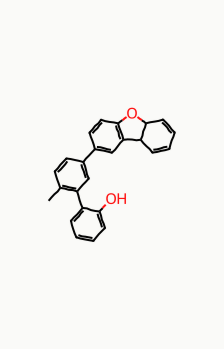 Cc1ccc(-c2ccc3c(c2)C2C=CC=CC2O3)cc1-c1ccccc1O